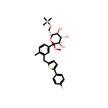 COC1(c2ccc(C)c(Cc3ccc(-c4ccc(F)cc4)s3)c2)O[C@H](CO[Si](C)(C)C)[C@@H](O)[C@H](O)[C@H]1O